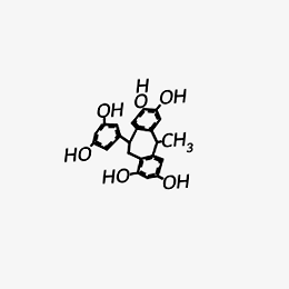 CC1c2cc(O)c(O)cc2C(c2cc(O)cc(O)c2)Cc2c(O)cc(O)cc21